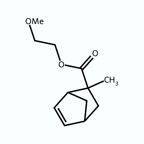 COCCOC(=O)C1(C)CC2C=CC1C2